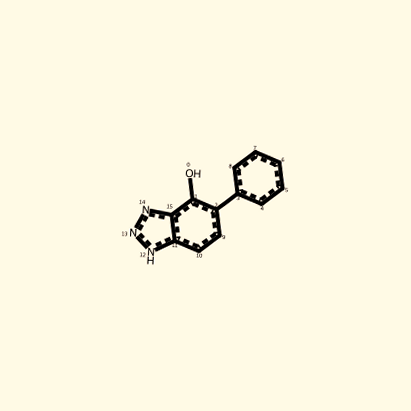 Oc1c(-c2ccccc2)ccc2[nH]nnc12